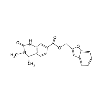 C[C@H]1c2ccc(C(=O)OCc3cc4ccccc4o3)cc2NC(=O)N1C